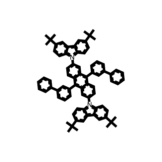 CC(C)(C)c1ccc2c(c1)c1cc(C(C)(C)C)ccc1n2-c1ccc2c(-c3cccc(-c4ccccc4)c3)c3cc(-n4c5ccc(C(C)(C)C)cc5c5cc(C(C)(C)C)ccc54)ccc3c(-c3cccc(-c4ccccc4)c3)c2c1